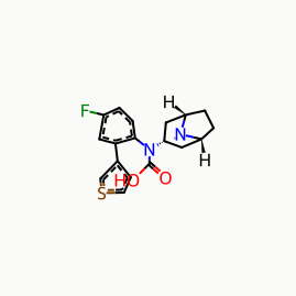 CN1[C@@H]2CC[C@H]1C[C@@H](N(C(=O)O)c1ccc(F)cc1-c1ccsc1)C2